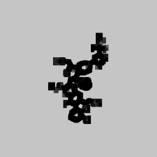 Cc1nc2c(F)c(-c3cccc(Cl)c3Cl)c(CCC#N)cc2c2c1cc(C1C3CC(CN(c4cc(C(C)(F)F)ncn4)C3)N1C(=O)CO)n2C1C2CNC1C2